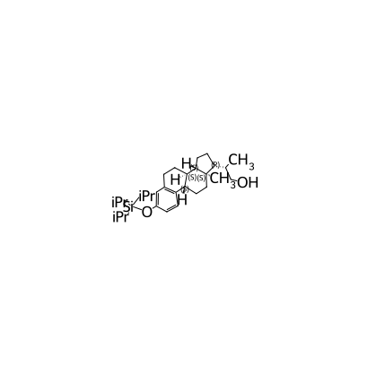 CC(CO)[C@H]1CC[C@H]2[C@@H]3CCc4cc(O[Si](C(C)C)(C(C)C)C(C)C)ccc4[C@H]3CC[C@]12C